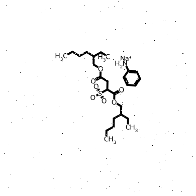 CCCCC(CC)COC(=O)CC(C(=O)OCC(CC)CCCC)S(=O)(=O)[O-].Nc1ccccc1.[Na+]